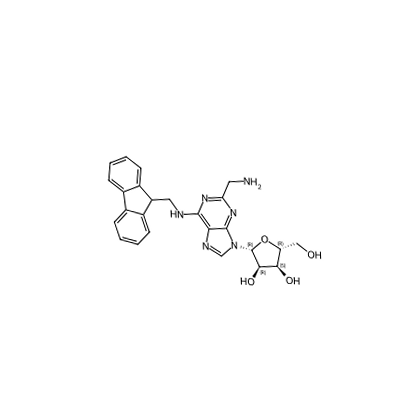 NCc1nc(NCC2c3ccccc3-c3ccccc32)c2ncn([C@@H]3O[C@H](CO)[C@@H](O)[C@H]3O)c2n1